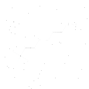 CCCCCCCCCCCC(C)(C)F